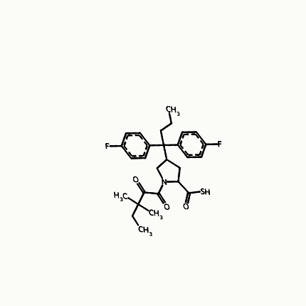 CCCC(c1ccc(F)cc1)(c1ccc(F)cc1)C1CC(C(=O)S)N(C(=O)C(=O)C(C)(C)CC)C1